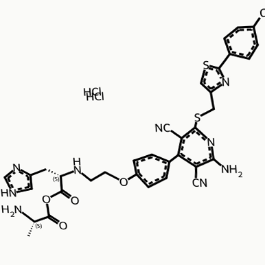 C[C@H](N)C(=O)OC(=O)[C@H](Cc1c[nH]cn1)NCCOc1ccc(-c2c(C#N)c(N)nc(SCc3csc(-c4ccc(Cl)cc4)n3)c2C#N)cc1.Cl.Cl